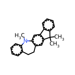 CN1c2ccccc2CCc2cc3c(cc21)-c1ccccc1C3(C)C